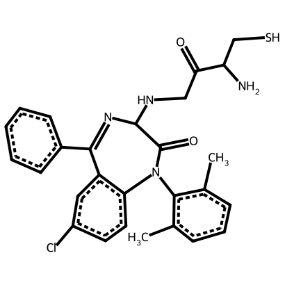 Cc1cccc(C)c1N1C(=O)C(NCC(=O)C(N)CS)N=C(c2ccccc2)c2cc(Cl)ccc21